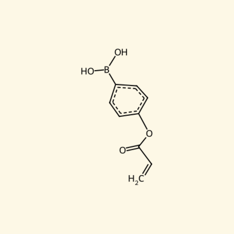 C=CC(=O)Oc1ccc(B(O)O)cc1